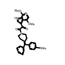 COc1ncc(OC)c2c(C(=O)C(=O)N3CCC(=C(c4ccccc4)c4ccc(SC)cc4)CC3)c[nH]c12